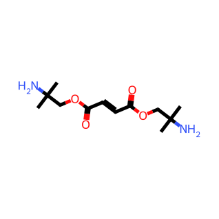 CC(C)(N)COC(=O)/C=C/C(=O)OCC(C)(C)N